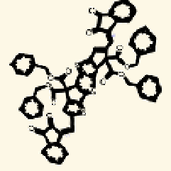 O=C1C(=O)c2ccccc2/C1=C/C1=Cc2sc3c4c(sc3c2C1(C(=O)OCc1ccccc1)C(=O)OCc1ccccc1)-c1sc(/C=C2\C(=O)C(=O)c3ccccc32)cc1C4(C(=O)OCc1ccccc1)C(=O)OCc1ccccc1